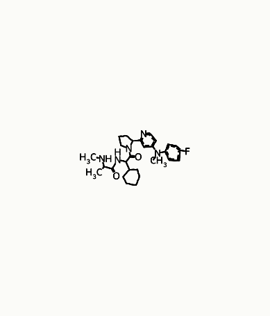 CNC(C)C(=O)NC(C(=O)N1CCC[C@H]1c1cc(N(C)c2ccc(F)cc2)ccn1)C1CCCCC1